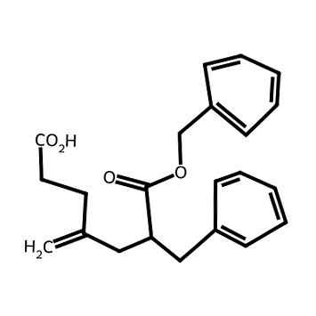 C=C(CCC(=O)O)CC(Cc1ccccc1)C(=O)OCc1ccccc1